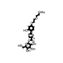 COCCOCCOc1ccc(C2=N[C@@](C)(C(=O)O[C@@H]3OC(CO)[C@H](O)[C@H](O)C3O)CS2)c(O)c1